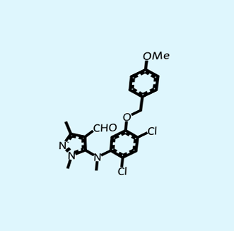 COc1ccc(COc2cc(N(C)c3c(C=O)c(C)nn3C)c(Cl)cc2Cl)cc1